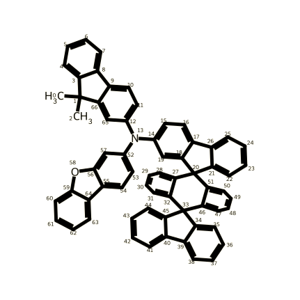 CC1(C)c2ccccc2-c2ccc(N(c3ccc4c(c3)C3(c5ccccc5-4)c4ccccc4C4(c5ccccc5-c5ccccc54)c4ccccc43)c3ccc4c(c3)oc3ccccc34)cc21